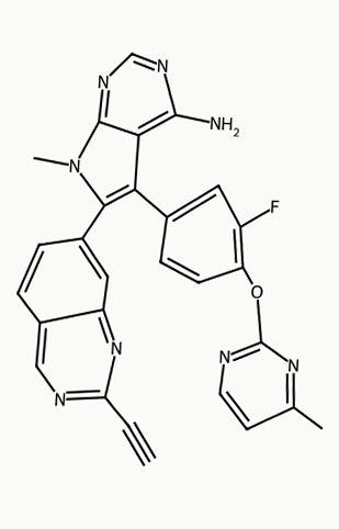 C#Cc1ncc2ccc(-c3c(-c4ccc(Oc5nccc(C)n5)c(F)c4)c4c(N)ncnc4n3C)cc2n1